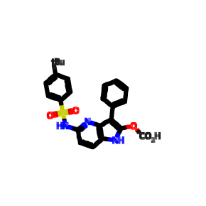 CC(C)(C)c1ccc(S(=O)(=O)Nc2ccc3[nH]c(OC(=O)O)c(-c4ccccc4)c3n2)cc1